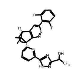 CC1(C)[C@H]2CC[C@]1(c1cccc(-c3nc(C(O)C(F)(F)F)n[nH]3)n1)c1nnc(-c3c(F)cccc3F)cc12